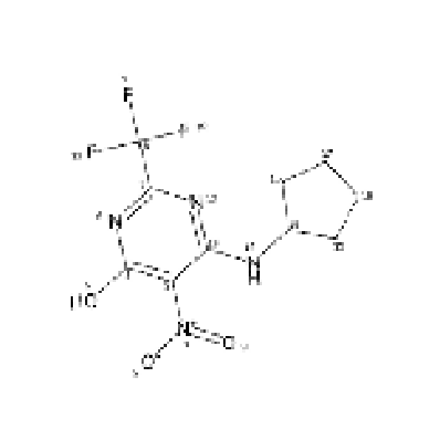 O=[N+]([O-])c1c(O)nc(C(F)(F)F)nc1NC1CCCC1